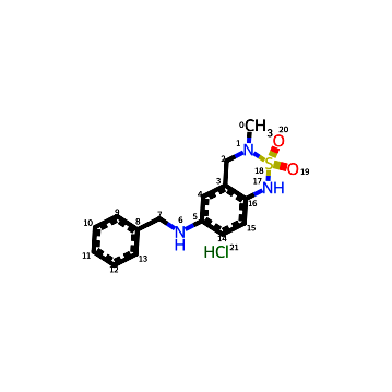 CN1Cc2cc(NCc3ccccc3)ccc2NS1(=O)=O.Cl